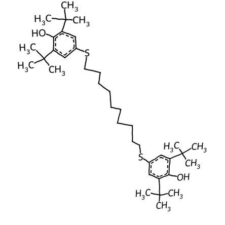 CC(C)(C)c1cc(SCCCCCCCCCCSc2cc(C(C)(C)C)c(O)c(C(C)(C)C)c2)cc(C(C)(C)C)c1O